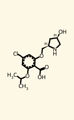 CC(C)Oc1cc(Cl)cc(OC[C@H]2C[C@@H](O)CN2)c1C(=O)O